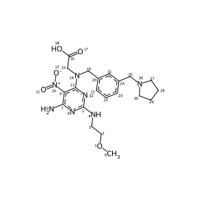 COCCNc1nc(N)c([N+](=O)[O-])c(N(CC(=O)O)Cc2cccc(CN3CCCC3)c2)n1